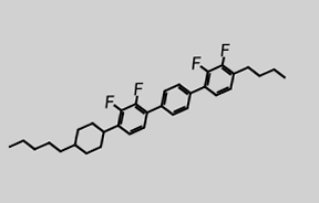 CCCCCC1CCC(c2ccc(-c3ccc(-c4ccc(CCCC)c(F)c4F)cc3)c(F)c2F)CC1